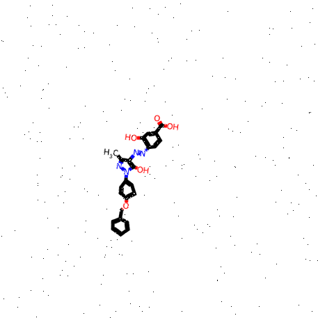 Cc1nn(-c2ccc(OCc3ccccc3)cc2)c(O)c1N=Nc1ccc(C(=O)O)cc1O